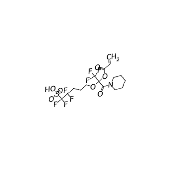 C=CC(=O)OC(OCCCC(F)(F)C(F)(F)S(=O)(=O)O)(C(=O)N1CCCCC1)C(F)(F)F